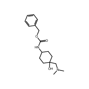 CN(C)CC1(O)CCC(NC(=O)OCc2ccccc2)CC1